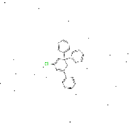 ClC1=CC(c2ccccc2)(c2ccccc2)CC(c2ccccc2)=C1